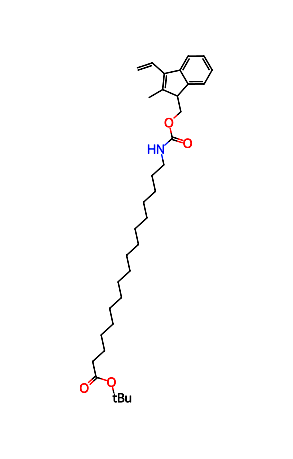 C=CC1=C(C)C(COC(=O)NCCCCCCCCCCCCCCCCC(=O)OC(C)(C)C)c2ccccc21